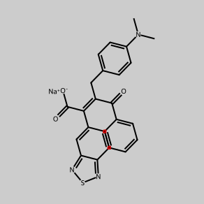 CN(C)c1ccc(C/C(C(=O)c2ccccc2)=C(\C(=O)[O-])c2ccc3nsnc3c2)cc1.[Na+]